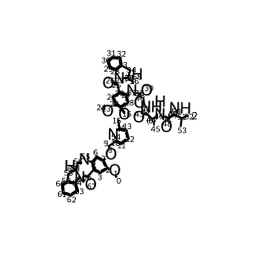 COc1cc2c(cc1OCc1cccc(COc3cc4c(cc3OC)C(=O)N3c5ccccc5C[C@H]3CN4C(=O)ONC(=O)[C@H](C)NC(=O)[C@@H](N)C(C)C)n1)N=C[C@@H]1Cc3ccccc3N1C2=O